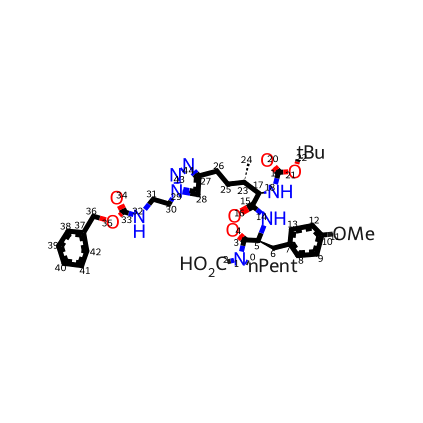 CCCCCN(C(=O)O)C(=O)[C@H](Cc1ccc(OC)cc1)NC(=O)[C@@H](NC(=O)OC(C)(C)C)[C@@H](C)CCc1cn(CCNC(=O)OCc2ccccc2)nn1